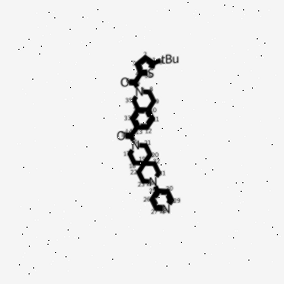 CC(C)(C)c1ccc(C(=O)N2CCc3ccc(C(=O)N4CCC5(CC4)CCN(c4ccncc4)CC5)cc3C2)s1